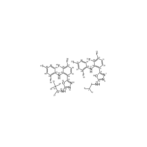 CC(C)CNc1nnc(-c2ccc(F)c(F)c2Nc2ccc(I)cc2F)o1.CC(Nc1nnc(-c2ccc(F)c(F)c2Nc2ccc(I)cc2F)o1)C(C)(C)C